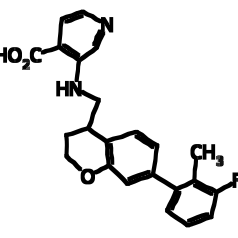 Cc1c(F)cccc1-c1ccc2c(c1)OCCC2CNc1cnccc1C(=O)O